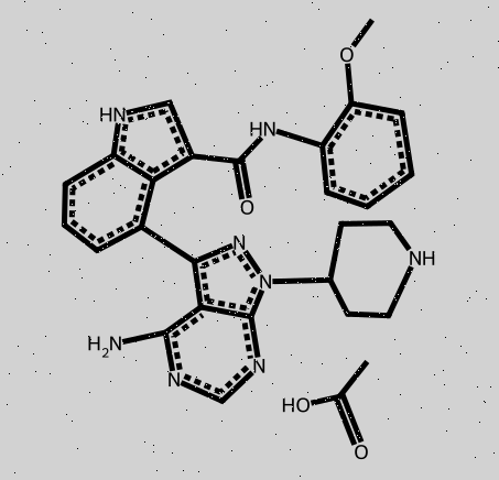 CC(=O)O.COc1ccccc1NC(=O)c1c[nH]c2cccc(-c3nn(C4CCNCC4)c4ncnc(N)c34)c12